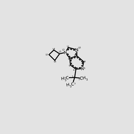 CC(C)(C)c1cc2c(cn1)ncn2C1CCC1